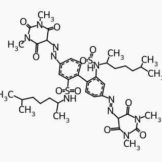 CC(C)CCCC(C)NS(=O)(=O)c1cc(N=NC2C(=O)N(C)C(=O)N(C)C2=O)ccc1-c1ccc(N=NC2C(=O)N(C)C(=O)N(C)C2=O)cc1N(C(C)CCCC(C)C)[SH](=O)=O